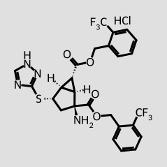 Cl.N[C@@]1(C(=O)OCc2ccccc2C(F)(F)F)C[C@H](Sc2nc[nH]n2)[C@H]2[C@H](C(=O)OCc3ccccc3C(F)(F)F)[C@H]21